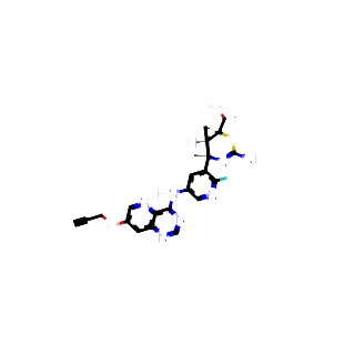 C#CCOc1cnc2c(Nc3cnc(F)c([C@@]4(C)N=C(N)S[C@]5([C@H](O)C(F)(F)F)C[C@H]54)c3)ncnc2c1